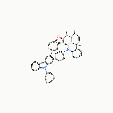 CC1C=CC2(C)C3=C1C(C)c1oc4ccc(-c5ccc6c(c5)c5ccccc5n6-c5ccccc5)cc4c1C3(C)N(c1ccccc1)c1ccccc12